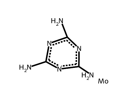 Nc1nc(N)nc(N)n1.[Mo]